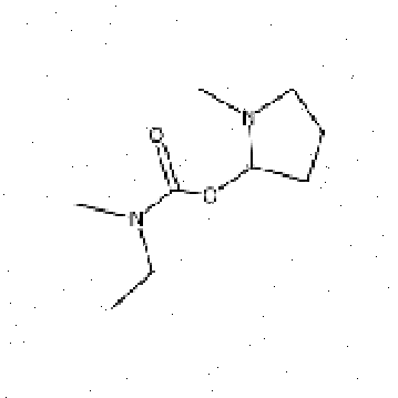 CCN(C)C(=O)O[C]1CCCN1C